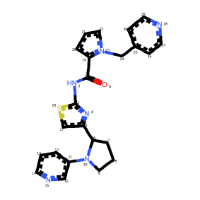 O=C(Nc1nc(C2CCCN2c2cccnc2)cs1)c1cccn1Cc1ccncc1